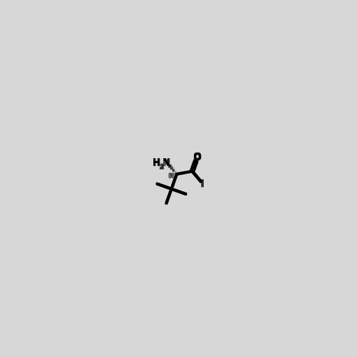 CC(C)(C)[C@H](N)C(=O)I